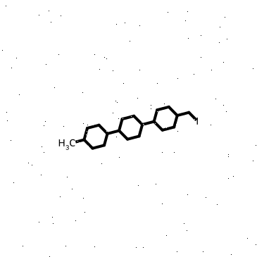 CC1CCC(C2CCC(C3CCC(CI)CC3)CC2)CC1